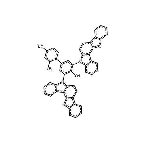 N#Cc1ccc(-c2cc(-n3c4ccccc4c4c5oc6ccccc6c5ccc43)c(C#N)c(-n3c4ccccc4c4c5oc6ccccc6c5ccc43)c2)c(C(F)(F)F)c1